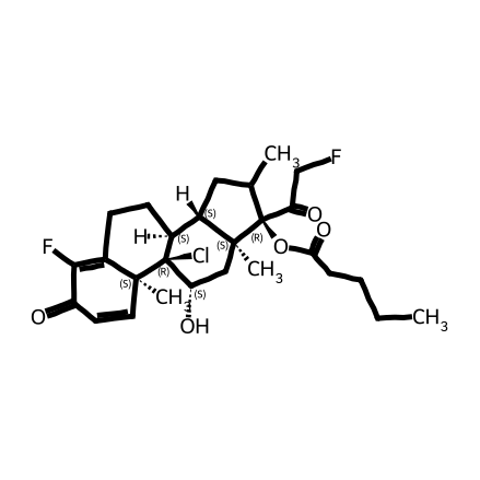 CCCCC(=O)O[C@]1(C(=O)CF)C(C)C[C@H]2[C@@H]3CCC4=C(F)C(=O)C=C[C@]4(C)[C@@]3(Cl)[C@@H](O)C[C@@]21C